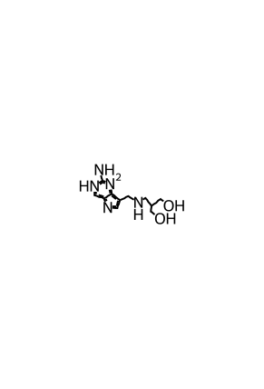 Nc1nc2c(CNCC(CO)CO)cnc-2c[nH]1